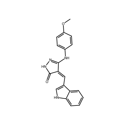 COc1ccc(NC2=NNC(=O)/C2=C\c2c[nH]c3ccccc23)cc1